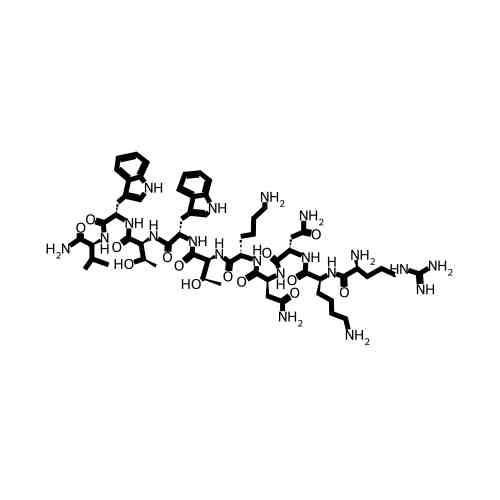 CC(C)[C@H](NC(=O)[C@H](Cc1c[nH]c2ccccc12)NC(=O)[C@@H](NC(=O)[C@H](Cc1c[nH]c2ccccc12)NC(=O)[C@@H](NC(=O)[C@H](CCCCN)NC(=O)[C@H](CC(N)=O)NC(=O)[C@H](CC(N)=O)NC(=O)[C@H](CCCCN)NC(=O)[C@@H](N)CCCNC(=N)N)[C@@H](C)O)[C@@H](C)O)C(N)=O